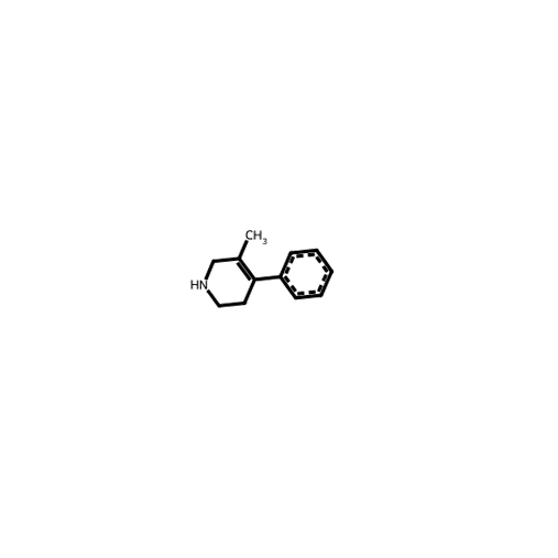 CC1=C(c2ccccc2)CCNC1